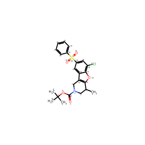 CC1CN(C(=O)OC(C)(C)C)Cc2c1oc1c(Cl)cc(S(=O)(=O)c3ccccc3)cc21